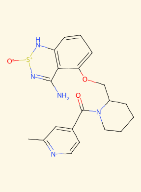 Cc1cc(C(=O)N2CCCCC2COc2cccc3c2C(N)=N[S+]([O-])N3)ccn1